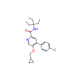 CCC(CC)(CC)NC(=O)c1cc(-c2ccc(Cl)cc2)c(OCC2CC2)cn1